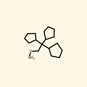 [SiH3]OCC(C1CCCC1)(C1CCCC1)C1CCCC1